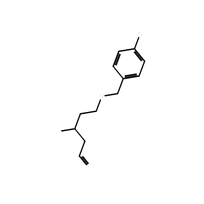 C=CCC(CC)CCNCc1ccc(N)cc1